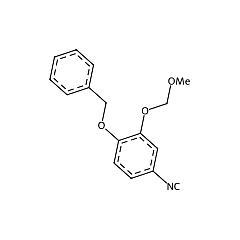 [C-]#[N+]c1ccc(OCc2ccccc2)c(OCOC)c1